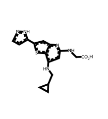 O=C(O)CNc1cc(NCC2CC2)c2sc(-c3ccn[nH]3)cc2n1